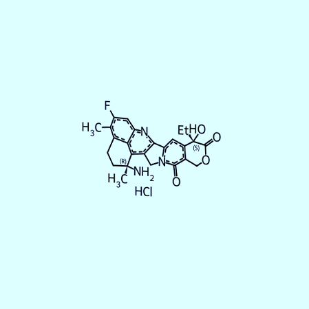 CC[C@@]1(O)C(=O)OCc2c1cc1n(c2=O)Cc2c-1nc1cc(F)c(C)c3c1c2[C@](C)(N)CC3.Cl